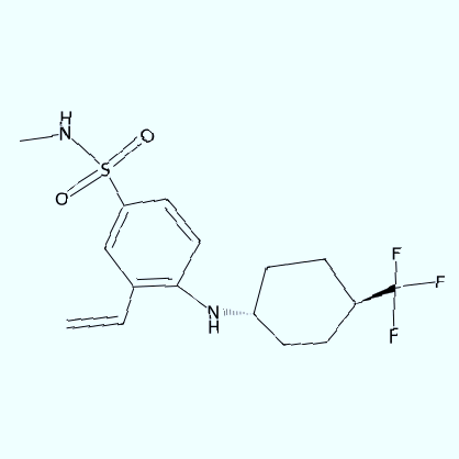 C=Cc1cc(S(=O)(=O)NC)ccc1N[C@H]1CC[C@H](C(F)(F)F)CC1